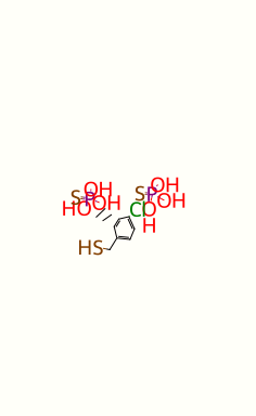 CC.CC.OP(O)(O)=S.OP(O)(O)=S.SCc1ccc(Cl)cc1